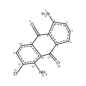 Nc1cccc2c1C(=O)c1ccc(Cl)c(N)c1C2=O